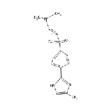 CN(C)/C=N/S(=O)(=O)c1ccc(-c2nc(C(F)(F)F)c[nH]2)cc1